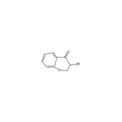 C=C1c2ccccc2OCC1C(C)C